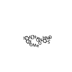 COc1ccc2nccc(N3CCN(C[C@@H]4CN(c5ccc6c(c5)NC(=O)CS6)C(=O)O4)CC3)c2n1